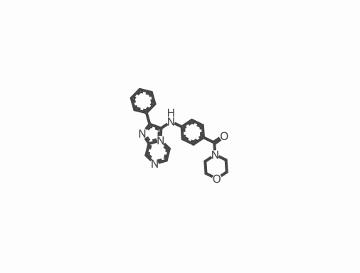 O=C(c1ccc(Nc2c(-c3ccccc3)nc3cnccn23)cc1)N1CCOCC1